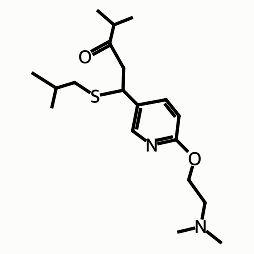 CC(C)CSC(CC(=O)C(C)C)c1ccc(OCCN(C)C)nc1